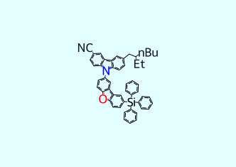 CCCCC(CC)Cc1ccc2c(c1)c1cc(C#N)ccc1n2-c1ccc2oc3ccc([Si](c4ccccc4)(c4ccccc4)c4ccccc4)cc3c2c1